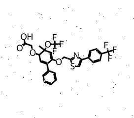 CC1(OC(F)(F)F)C=C(OCc2nc(-c3ccc(C(F)(F)F)cc3)cs2)C(c2ccccc2)=CC1OCC(=O)O